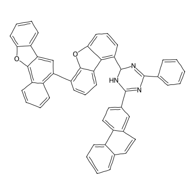 c1ccc(C2=NC(c3cccc4oc5c(-c6cc7c8ccccc8oc7c7ccccc67)cccc5c34)NC(c3ccc4c(ccc5ccccc54)c3)=N2)cc1